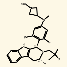 CCCCN1CC(N(C)c2cc(F)c([C@@H]3c4[nH]c5ccccc5c4C[C@@H](C)N3CC(C)(C)F)c(F)c2)C1